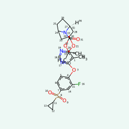 Cc1c(Oc2ccc(S(=O)(=O)C3CC3)cc2F)ncnc1OC1CC2CC[C@@H](C1)N2C(=O)OC(C)C